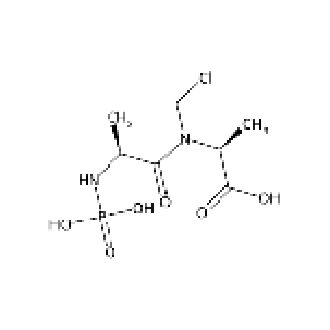 C[C@H](NP(=O)(O)O)C(=O)N(CCl)[C@@H](C)C(=O)O